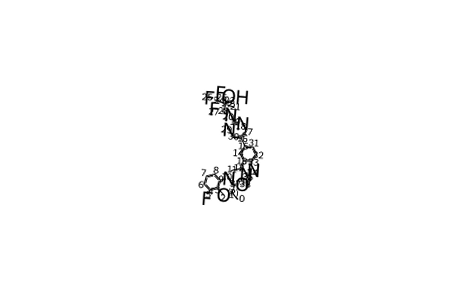 C[C@H]1Oc2c(F)cccc2N(Cc2c3cc(-c4cnc(N5CC(O)(C(F)(F)F)C5)nc4)ccc3nn2C)C1=O